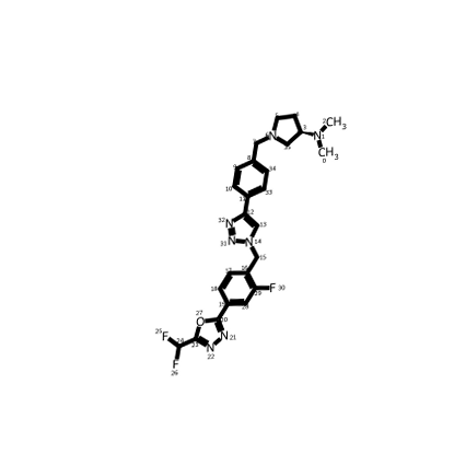 CN(C)[C@@H]1CCN(Cc2ccc(-c3cn(Cc4ccc(-c5nnc(C(F)F)o5)cc4F)nn3)cc2)C1